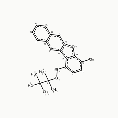 CC(C)(O)C(C)(C)OBc1ccc(Cl)c2oc3cc4ccccc4cc3c12